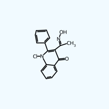 CC(=NO)c1c(-c2ccccc2)n(Cl)c2ccccc2c1=O